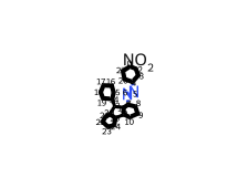 O=[N+]([O-])c1ccc(N=Nc2cccc3c2C(c2ccccc2)c2ccccc2-3)cc1